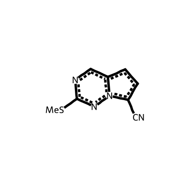 CSc1ncc2ccc(C#N)n2n1